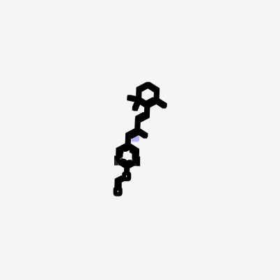 CC1=C(C=C/C(C)=C/c2cnc(OC=O)nc2)C(C)(C)CCC1